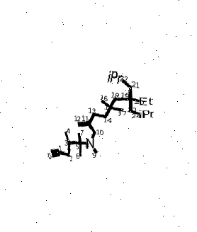 C#CCC(C)C(C)(C)N(C)CC(=C)CCC(C)(C)CC(CC)(CC(C)C)CC(C)C